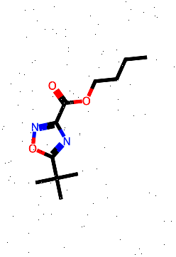 CCCCOC(=O)c1noc(C(C)(C)C)n1